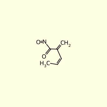 C=C(/C=C\C)C(=O)N=O